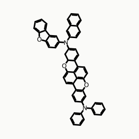 C1=C2c3ccc4c5c(ccc(c35)OC2CC(N(c2ccc3ccccc3c2)c2ccc3oc5ccccc5c3c2)=C1)-c1ccc(N(c2ccccc2)c2ccccc2)cc1O4